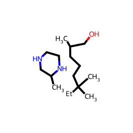 CC1CNCCN1.CCC(C)(C)CCCC(C)CO